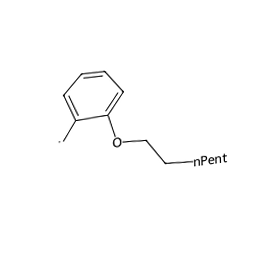 [CH2]c1ccccc1OCCCCCCC